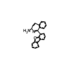 NC1C=Cc2ccccc2C(c2cccc3c2oc2ccccc23)=N1